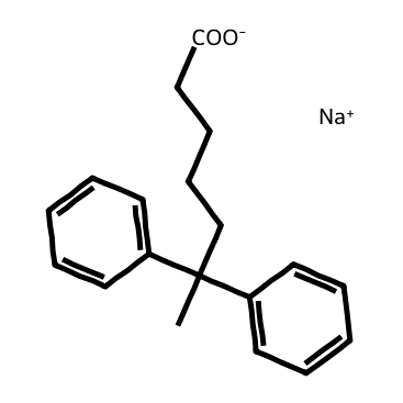 CC(CCCCC(=O)[O-])(c1ccccc1)c1ccccc1.[Na+]